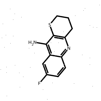 Nc1c2c(nc3ccc(F)cc13)CCCS2